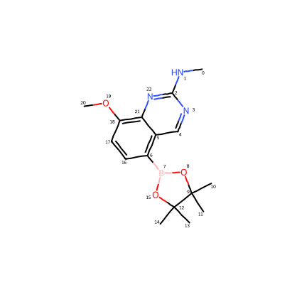 CNc1ncc2c(B3OC(C)(C)C(C)(C)O3)ccc(OC)c2n1